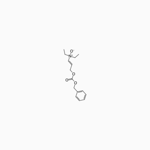 CC[N+]([O-])(/C=C/COC(=O)OCc1ccccc1)CC